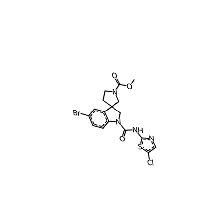 COC(=O)N1CCC2(C1)CN(C(=O)Nc1ncc(Cl)s1)c1ccc(Br)cc12